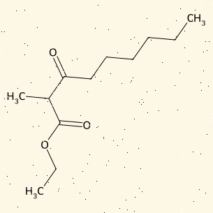 CCCCCCC(=O)C(C)C(=O)OCC